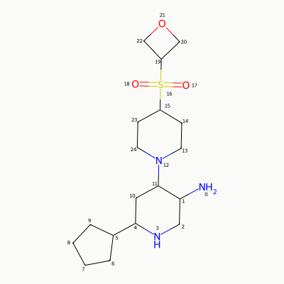 NC1CNC(C2CCCC2)CC1N1CCC(S(=O)(=O)C2COC2)CC1